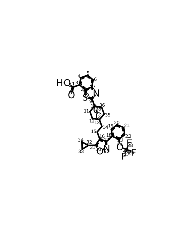 O=C(O)c1cccc2nc(C34CCC(CCc5c(-c6ccccc6OC(F)(F)F)noc5C5CC5)(CC3)CC4)sc12